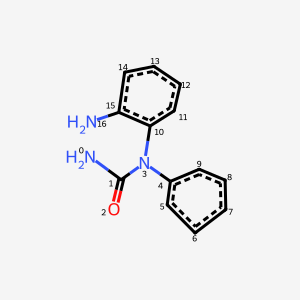 NC(=O)N(c1ccccc1)c1ccccc1N